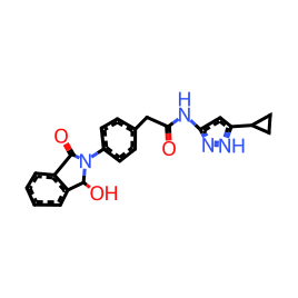 O=C(Cc1ccc(N2C(=O)c3ccccc3C2O)cc1)Nc1cc(C2CC2)[nH]n1